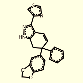 C1=CC(c2ccccc2)(c2ccc3c(c2)OCO3)Cc2[nH]nc(-c3cscn3)c21